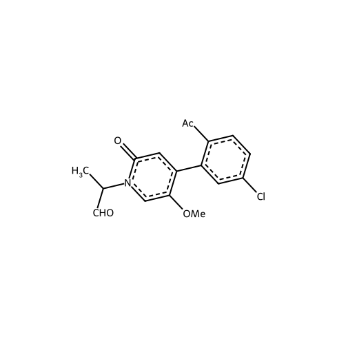 COc1cn(C(C)C=O)c(=O)cc1-c1cc(Cl)ccc1C(C)=O